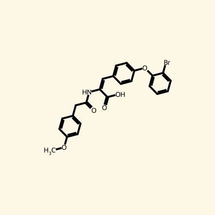 COc1ccc(CC(=O)NC(=Cc2ccc(Oc3ccccc3Br)cc2)C(=O)O)cc1